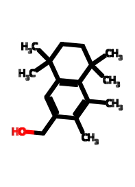 Cc1c(CO)cc2c(c1C)C(C)(C)CCC2(C)C